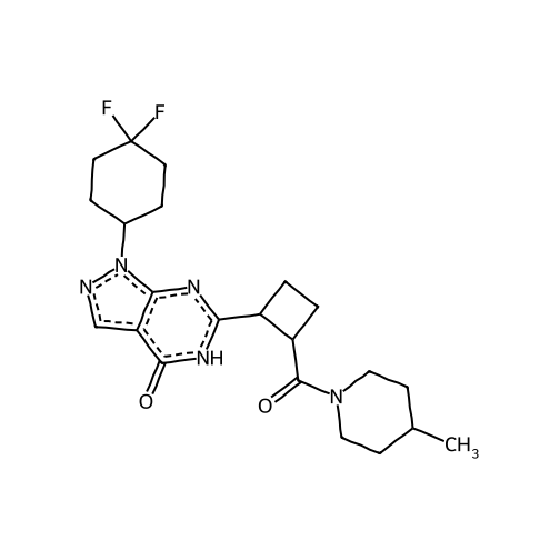 CC1CCN(C(=O)C2CCC2c2nc3c(cnn3C3CCC(F)(F)CC3)c(=O)[nH]2)CC1